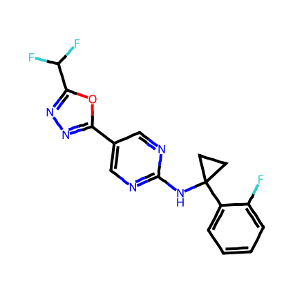 Fc1ccccc1C1(Nc2ncc(-c3nnc(C(F)F)o3)cn2)CC1